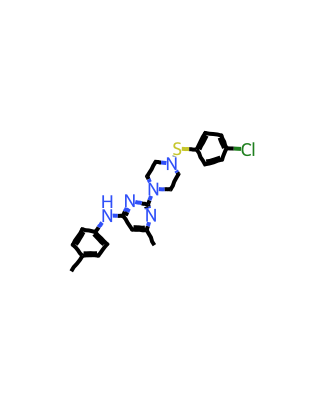 Cc1ccc(Nc2cc(C)nc(N3CCN(Sc4ccc(Cl)cc4)CC3)n2)cc1